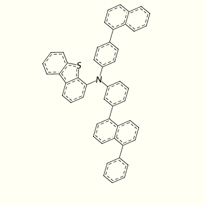 c1ccc(-c2cccc3c(-c4cccc(N(c5ccc(-c6cccc7ccccc67)cc5)c5cccc6c5sc5ccccc56)c4)cccc23)cc1